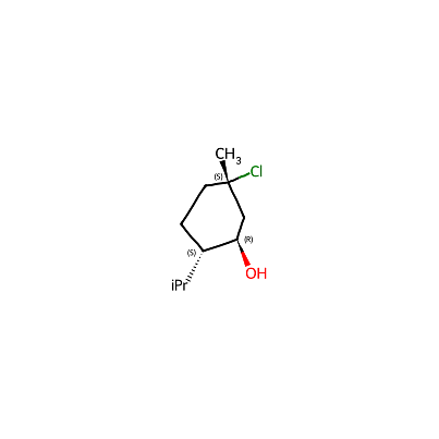 CC(C)[C@@H]1CC[C@](C)(Cl)C[C@H]1O